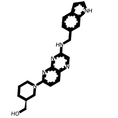 OC[C@H]1CCCN(c2ccc3ncc(NCc4ccc5cc[nH]c5c4)nc3n2)C1